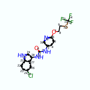 O=C(Nc1ccc(OCCSC(F)(F)F)nc1)Nc1c[nH]c2ccc(Cl)cc12